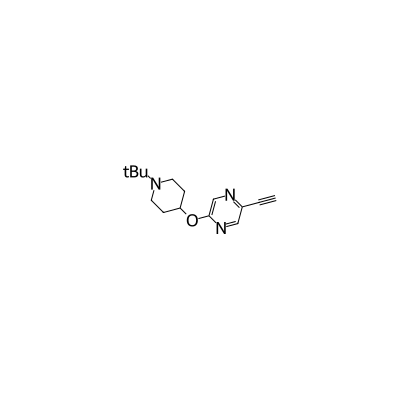 C#Cc1cnc(OC2CCN(C(C)(C)C)CC2)cn1